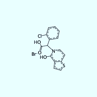 O=C(O)C(c1ccccc1Cl)[n+]1ccc2sccc2c1O.[Br-]